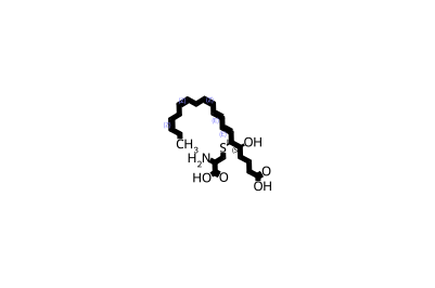 CC/C=C\C/C=C\C\C=C/C=C/C=C/[C@@H](SCC(N)C(=O)O)[C@@H](O)CCCC(=O)O